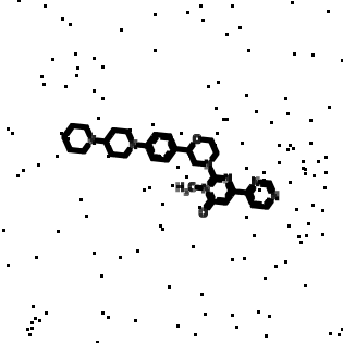 Cn1c(N2CCOC(c3ccc(N4CCC(N5CCCCC5)CC4)cc3)C2)nc(-c2ccncn2)cc1=O